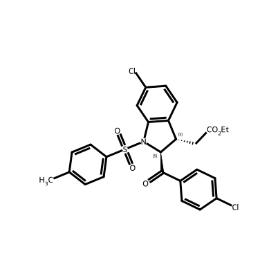 CCOC(=O)C[C@H]1c2ccc(Cl)cc2N(S(=O)(=O)c2ccc(C)cc2)[C@@H]1C(=O)c1ccc(Cl)cc1